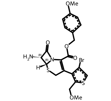 COCc1scc(Br)c1C1=C(C(=O)OCc2ccc(OC)cc2)N2C(=O)[C@@H](N)[C@H]2SC1